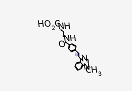 CN1CCN=C(/C=C/c2ccc(C(=O)NCCCNC(=O)O)cc2)c2ccccc21